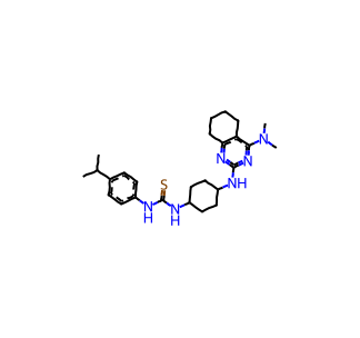 CC(C)c1ccc(NC(=S)NC2CCC(Nc3nc4c(c(N(C)C)n3)CCCC4)CC2)cc1